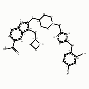 O=C(O)c1ccc2nc(CC3CCN(Cc4nc(Cc5ccc(Cl)cc5F)cs4)CC3)n(C[C@@H]3CCO3)c2n1